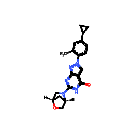 O=c1[nH]c(N2C[C@H]3C[C@@H]2CO3)nc2nn(-c3ccc(C4CC4)cc3C(F)(F)F)cc12